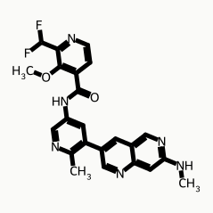 CNc1cc2ncc(-c3cc(NC(=O)c4ccnc(C(F)F)c4OC)cnc3C)cc2cn1